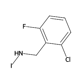 Fc1cccc(Cl)c1CNI